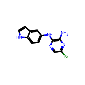 Nc1nc(Br)cnc1Nc1ccc2[nH]ccc2c1